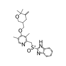 C=C1CC(COc2c(C)cnc(C[S+]([O-])c3nc4ccccc4[nH]3)c2C)COC1(C)C